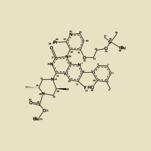 Cc1cccc(-c2nc3c(cc2F)c(N2C[C@@H](C)N(C(=O)OC(C)(C)C)C[C@@H]2C)nc(=O)n3-c2c(OCCO[Si](C)(C)C(C)(C)C)ccnc2C(C)C)c1O